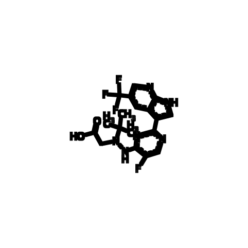 CC(C)(C)N(CC(=O)O)Nc1nc(-c2c[nH]c3ncc(C(F)(F)F)cc23)ncc1F